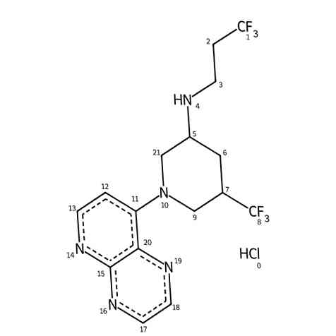 Cl.FC(F)(F)CCNC1CC(C(F)(F)F)CN(c2ccnc3nccnc23)C1